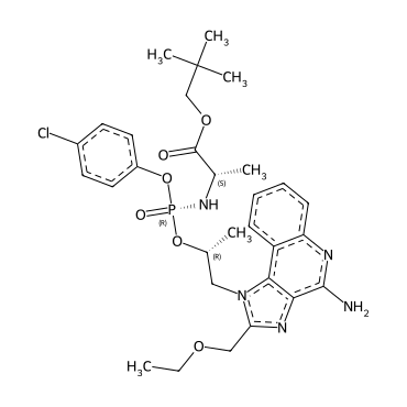 CCOCc1nc2c(N)nc3ccccc3c2n1C[C@@H](C)O[P@](=O)(N[C@@H](C)C(=O)OCC(C)(C)C)Oc1ccc(Cl)cc1